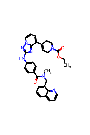 CCOC(=O)N1CC=C(c2cccn3nc(Nc4ccc(C(=O)N(C)Cc5cccc6cccnc56)cc4)nc23)CC1